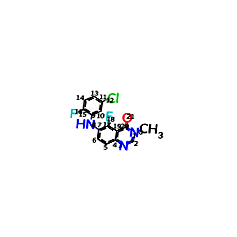 Cn1cnc2ccc(Nc3cc(Cl)ccc3F)c(F)c2c1=O